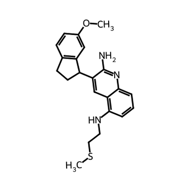 COc1ccc2c(c1)C(c1cc3c(NCCSC)cccc3nc1N)CC2